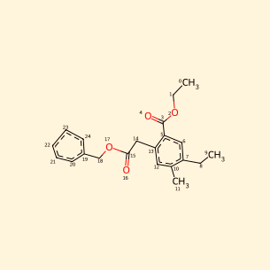 CCOC(=O)c1cc(CC)c(C)cc1CC(=O)OCc1ccccc1